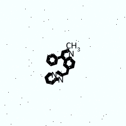 Cc1cc(-c2ccccc2)c2cc(Cc3cn4ccccc4n3)ccc2n1